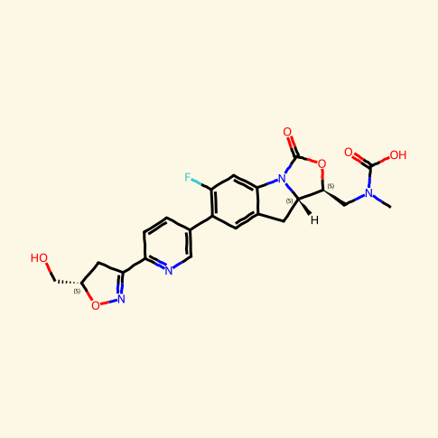 CN(C[C@@H]1OC(=O)N2c3cc(F)c(-c4ccc(C5=NO[C@H](CO)C5)nc4)cc3C[C@@H]12)C(=O)O